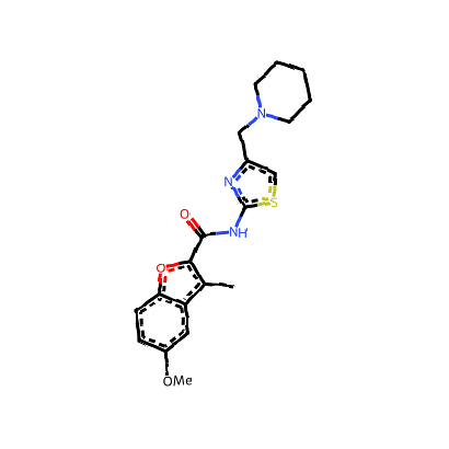 COc1ccc2oc(C(=O)Nc3nc(CN4CCCCC4)cs3)c(C)c2c1